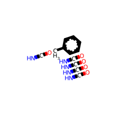 Cc1ccccc1.N=C=O.N=C=O.N=C=O.N=C=O.N=C=O